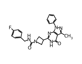 Cc1nn(-c2ccccc2)c2nc(C3CN(C(=O)NCc4ccc(F)cc4)C3)[nH]c(=O)c12